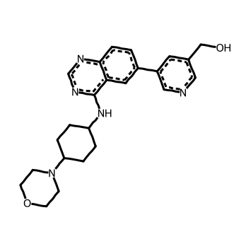 OCc1cncc(-c2ccc3ncnc(NC4CCC(N5CCOCC5)CC4)c3c2)c1